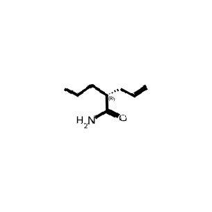 C=CC[C@@H](CCC)C(N)=O